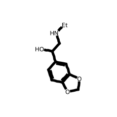 CCNCC(O)c1ccc2c(c1)OCO2